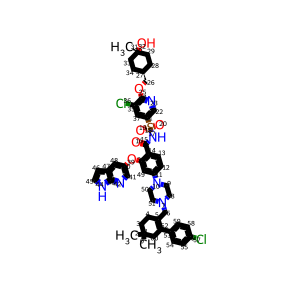 CC1(C)CCC(CN2CCN(c3ccc(C(=O)NS(=O)(=O)c4cnc(OC[C@H]5CC[C@](C)(O)CC5)c(Cl)c4)c(Oc4cnc5[nH]ccc5c4)c3)CC2)=C(c2ccc(Cl)cc2)C1